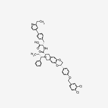 CCc1cc(-c2ccc(C[C@H](NC(=O)[C@@H]3Cc4cc5c(cc4CN3[C@@H](CC)c3ccccc3)O[C@@H](c3ccc(OCc4ccc(Cl)c(Cl)c4)cc3)CO5)C(=O)O)cc2)ccn1